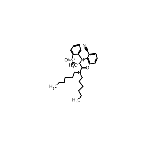 CCCCCCN(CCCCCC)C(=O)[C@H](C)N(c1ccccc1C#N)c1ccccc1[N+](=O)[O-]